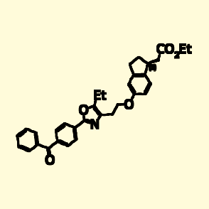 CCOC(=O)C[C@@H]1CCc2cc(OCCc3nc(-c4ccc(C(=O)c5ccccc5)cc4)oc3CC)ccc21